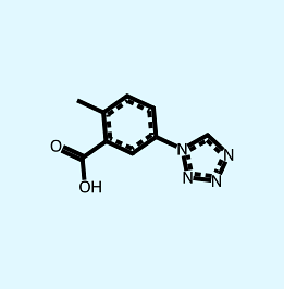 Cc1ccc(-n2cnnn2)cc1C(=O)O